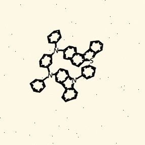 c1ccc(N(c2cccc(N(c3ccccc3)c3ccc4c(c3)c3ccccc3n4-c3ccccc3)c2)c2ccc3c(ccc4sc5ccccc5c43)c2)cc1